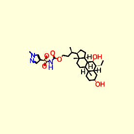 CC[C@H]1[C@@H](O)[C@@H]2[C@H](CC[C@]3(C)[C@@H]([C@H](C)CCOC(=O)NS(=O)(=O)c4cnn(C)c4)CC[C@@H]23)[C@@]2(C)CC[C@@H](O)C[C@@H]12